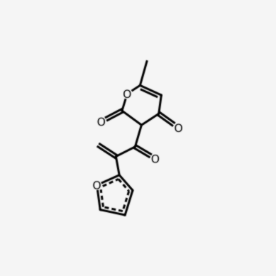 C=C(C(=O)C1C(=O)C=C(C)OC1=O)c1ccco1